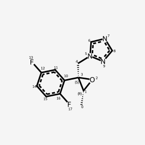 C[C@H]1O[C@]1(Cn1cncn1)c1cc(F)ccc1F